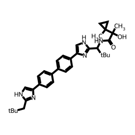 CC(C)(C)Cc1nc(-c2ccc(-c3ccc(-c4c[nH]c(C(NC(=O)C(C)(O)C5(C)CC5)C(C)(C)C)n4)cc3)cc2)c[nH]1